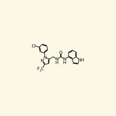 O=C(NCc1cc(C(F)(F)F)nn1-c1cccc(Cl)c1)Nc1cccc2[nH]ccc12